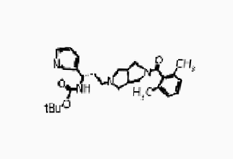 Cc1cccc(C)c1C(=O)N1CC2CN(CC[C@H](NC(=O)OC(C)(C)C)c3cccnc3)CC2C1